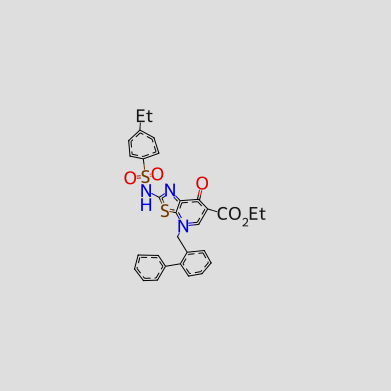 CCOC(=O)c1cn(Cc2ccccc2-c2ccccc2)c2sc(NS(=O)(=O)c3ccc(CC)cc3)nc2c1=O